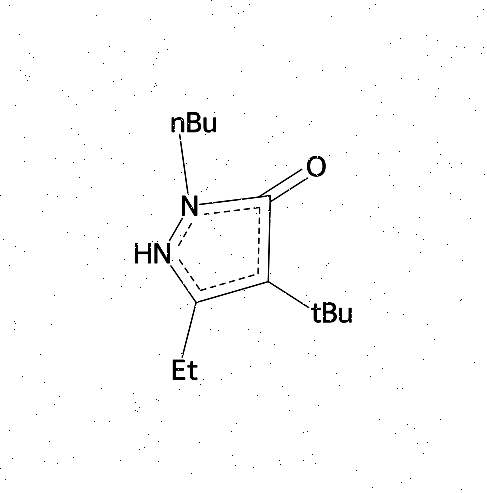 CCCCn1[nH]c(CC)c(C(C)(C)C)c1=O